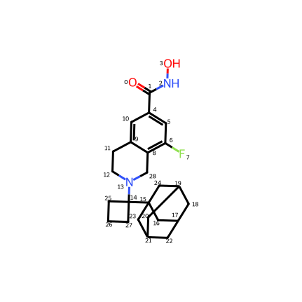 O=C(NO)c1cc(F)c2c(c1)CCN(C1(C34CC5CC(CC(C5)C3)C4)CCC1)C2